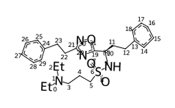 CCN(CC)CCCS(=O)(=O)N[C@H](CCc1ccccc1)c1nc(CCc2ccccc2)no1